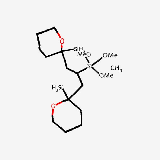 C.CO[Si](OC)(OC)C(CC1([SiH3])CCCCO1)CC1([SiH3])CCCCO1